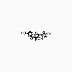 CCCS(=O)(=O)NC[C@H]1O[C@@H](n2ccc(N)nc2=O)C(F)(F)[C@@H]1O